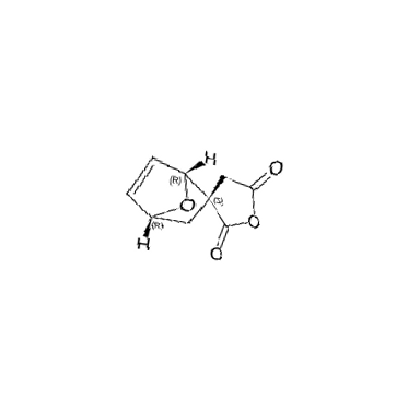 O=C1C[C@]2(C[C@@H]3C=C[C@H]2O3)C(=O)O1